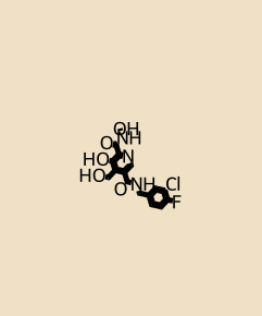 O=C(NCc1ccc(F)c(Cl)c1)c1cnc(C(=O)NO)c(O)c1CO